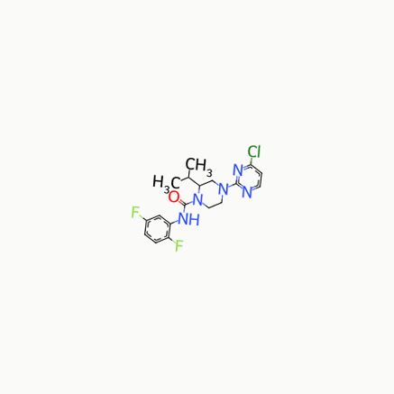 CC(C)C1CN(c2nccc(Cl)n2)CCN1C(=O)Nc1cc(F)ccc1F